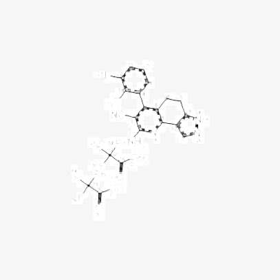 N#Cc1c(N)nc2c(c1-c1cccc(F)c1F)CCc1[nH]ncc1-2.O=C(O)C(F)(F)F.O=C(O)C(F)(F)F